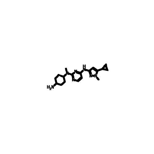 CN(c1nccc(Nc2cc(C3CC3)n(C)n2)n1)C1CCC(N)CC1